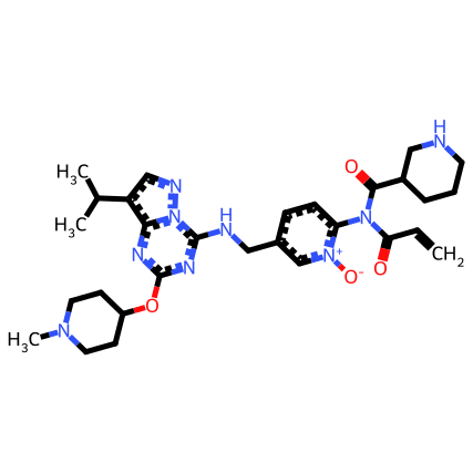 C=CC(=O)N(C(=O)C1CCCNC1)c1ccc(CNc2nc(OC3CCN(C)CC3)nc3c(C(C)C)cnn23)c[n+]1[O-]